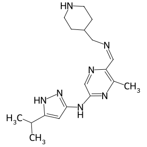 Cc1nc(Nc2cc(C(C)C)[nH]n2)cnc1/C=N\CC1CCNCC1